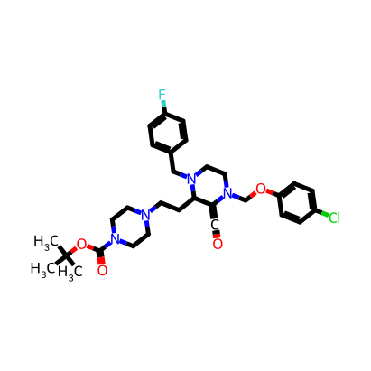 CC(C)(C)OC(=O)N1CCN(CCC2C(=C=O)N(COc3ccc(Cl)cc3)CCN2Cc2ccc(F)cc2)CC1